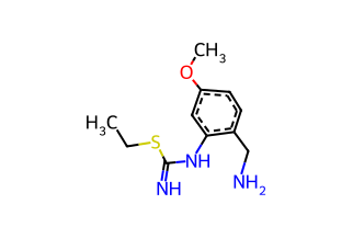 CCSC(=N)Nc1cc(OC)ccc1CN